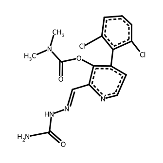 CN(C)C(=O)Oc1c(-c2c(Cl)cccc2Cl)ccnc1C=NNC(N)=O